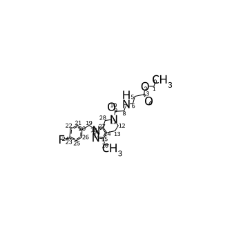 CCOC(=O)CCNCC(=O)N1CCc2c(C)nn(Cc3ccc(F)cc3)c2C1